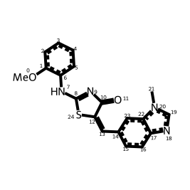 COc1ccccc1NC1=NC(=O)C(=Cc2ccc3ncn(C)c3c2)S1